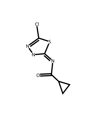 O=C(N=C1[N]N=C(Cl)S1)C1CC1